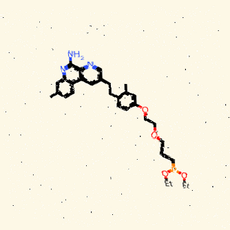 CCOP(CCCOCCOc1ccc(CCc2cnc3c(N)nc4cc(C)ccc4c3c2)c(C)c1)OCC